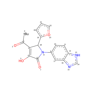 CC(C)(C)C(=O)C1=C(O)C(=O)N(c2ccc3[nH]cnc3c2)C1c1ccco1